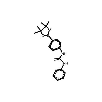 CC1(C)OB(c2ccc(NC(=O)Nc3ccccc3)cc2)OC1(C)C